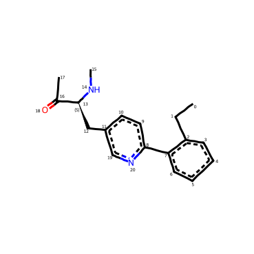 CCc1ccccc1-c1ccc(C[C@H](NC)C(C)=O)cn1